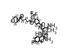 C[C@H](N)c1oc(-c2ccc(OC(F)F)c(OCCCCC(=O)N3CCOCC3)c2)nc1C(=O)NC(C(N)=O)c1ccc(F)cc1F